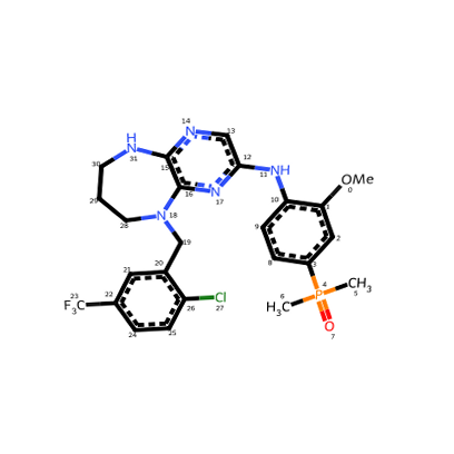 COc1cc(P(C)(C)=O)ccc1Nc1cnc2c(n1)N(Cc1cc(C(F)(F)F)ccc1Cl)CCCN2